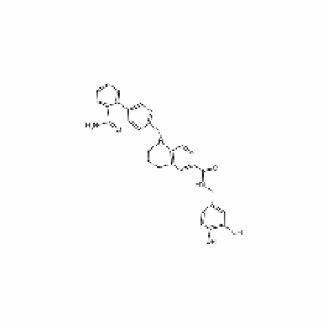 NC(=O)c1ccccc1-c1ccc(CN2CCCc3cc(C(=O)NCc4ccc(O)c(O)c4)ccc32)cc1